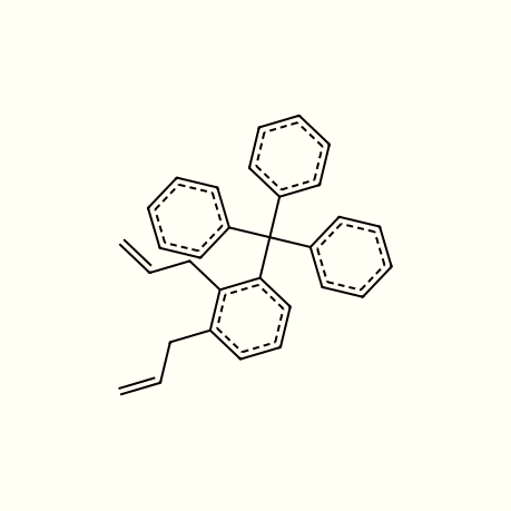 C=CCc1cccc(C(c2ccccc2)(c2ccccc2)c2ccccc2)c1CC=C